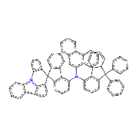 C1=CC2c3c(N(c4cccc5c4-c4ccccc4C54c5ccccc5-n5c6ccccc6c6cccc4c65)c4cc5ccccc5c5ccccc45)cccc3C(c3ccccc3)(c3ccccc3)C2C=C1